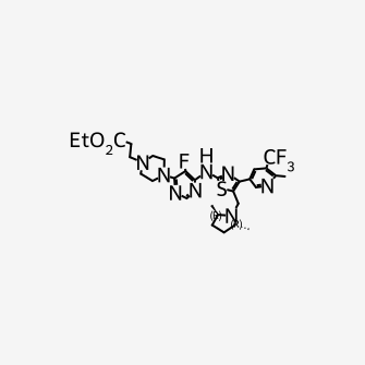 CCOC(=O)CCN1CCN(c2ncnc(Nc3nc(-c4cnc(C)c(C(F)(F)F)c4)c(CN4[C@H](C)CC[C@H]4C)s3)c2F)CC1